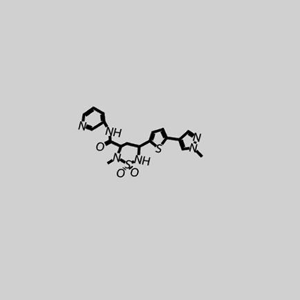 CN1C(C(=O)Nc2cccnc2)CC(c2ccc(-c3cnn(C)c3)s2)NS1(=O)=O